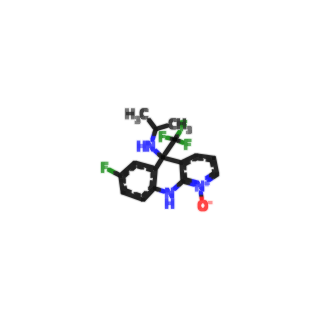 CC(C)NC1(C(F)(F)F)c2cc(F)ccc2Nc2c1ccc[n+]2[O-]